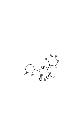 C1CCC(C(OC(C2CCCCC2)C2CO2)C2CO2)CC1